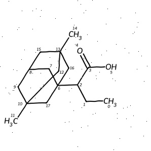 CCC(C(=O)O)C12CC3CC(C)(CC(C)(C3)C1)C2